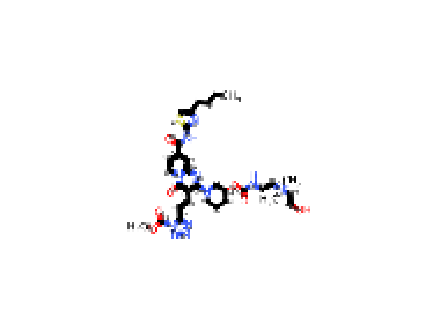 CCCCc1csc(NC(=O)c2ccn3c(=O)c(C=Cc4nnnn4C(=O)OC)c(N4CCC[C@@H](OC(=O)NCC[N+](C)(C)CCO)C4)nc3c2)n1